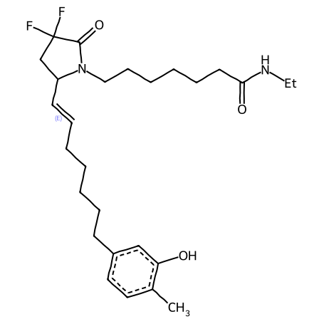 CCNC(=O)CCCCCCN1C(=O)C(F)(F)CC1/C=C/CCCCCc1ccc(C)c(O)c1